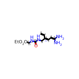 C=C/C(=C\C=C(N)N)CNC(=O)NCC(=O)OCC